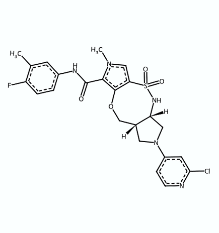 Cc1cc(NC(=O)c2c3c(cn2C)S(=O)(=O)N[C@@H]2CN(c4ccnc(Cl)c4)C[C@@H]2CO3)ccc1F